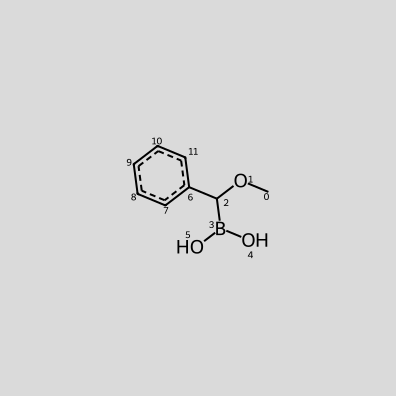 COC(B(O)O)c1ccccc1